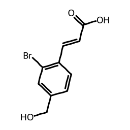 O=C(O)C=Cc1ccc(CO)cc1Br